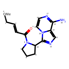 COCC=CC(=O)N1CCCC1c1ncc2c(N)nccn12